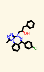 Cc1nnc2n1-c1ccccc1C(c1ccc(Cl)cc1)=NN2CC(O)Cc1ccccc1